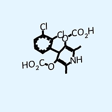 CC1=C(OC(=O)O)C(c2cccc(Cl)c2Cl)C(OC(=O)O)=C(C)N1